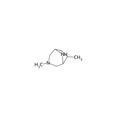 CC1CC2CN(C)CC1N2